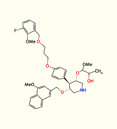 COc1c(F)cccc1COCCCOc1ccc([C@@H]2[C@@H](OCc3cc(OC)c4ccccc4c3)CNC[C@H]2OC(OC)C(C)O)cc1